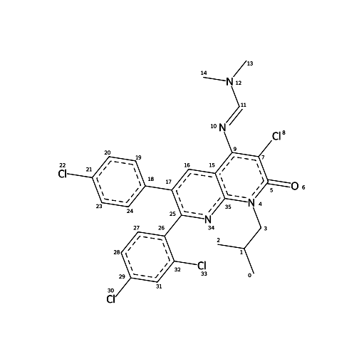 CC(C)Cn1c(=O)c(Cl)c(N=CN(C)C)c2cc(-c3ccc(Cl)cc3)c(-c3ccc(Cl)cc3Cl)nc21